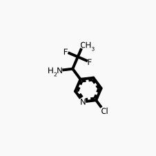 CC(F)(F)C(N)c1ccc(Cl)nc1